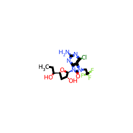 CCC(O)[C@@H]1C[C@@H](O)[C@H](n2c(=O)n(CC(F)(F)F)c3c(Cl)nc(N)nc32)O1